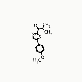 COc1ccc(-c2cnc(C(=O)C(C)C)s2)cc1